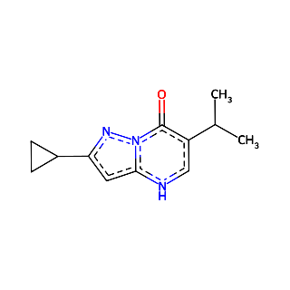 CC(C)c1c[nH]c2cc(C3CC3)nn2c1=O